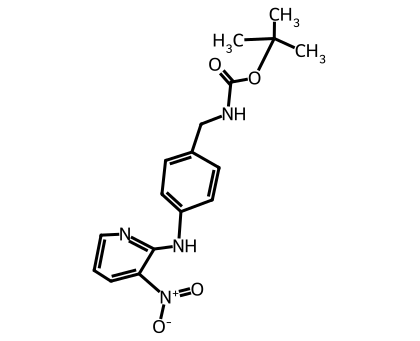 CC(C)(C)OC(=O)NCc1ccc(Nc2ncccc2[N+](=O)[O-])cc1